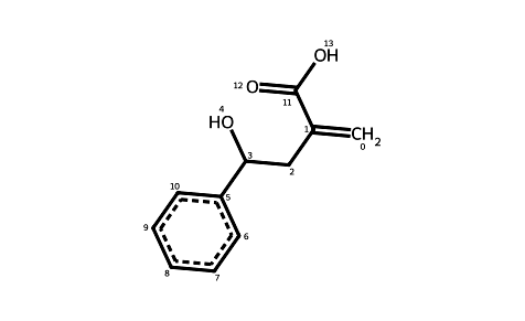 C=C(CC(O)c1ccccc1)C(=O)O